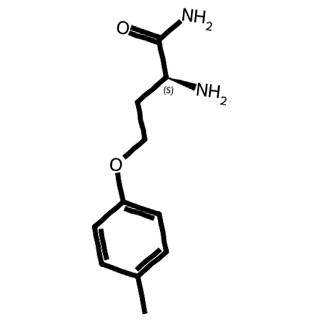 Cc1ccc(OCC[C@H](N)C(N)=O)cc1